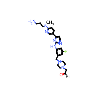 CCC(=O)CN1CCN(Cc2cc(F)cc(Nc3nccc(-c4ccc(N(C)CCCN)nc4)n3)c2)CC1